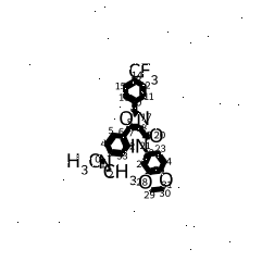 CN(C)c1ccc(-c2oc(-c3ccc(C(F)(F)F)cc3)nc2C(=O)Nc2ccc3c(c2)OCCO3)cc1